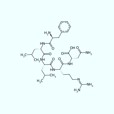 CC(C)C[C@H](NC(=O)[C@H](CC(C)C)NC(=O)[C@@H](N)Cc1ccccc1)C(=O)N[C@@H](CCCN=C(N)N)C(=O)N[C@@H](CC(N)=O)C(=O)O